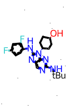 CC(C)(C)Nc1ncc2nc(Nc3ccc(F)cc3F)n([C@H]3CC[C@@H](O)CC3)c2n1